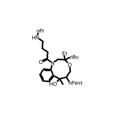 CCCCCC1COC(CC)(CCCC)CN(C(=O)CCCNCCC)c2ccccc2C1(C)O